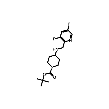 CC(C)(C)OC(=O)N1CCC(NCc2ncc(F)cc2F)CC1